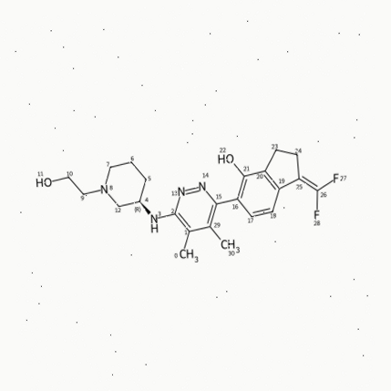 Cc1c(N[C@@H]2CCCN(CCO)C2)nnc(-c2ccc3c(c2O)CCC3=C(F)F)c1C